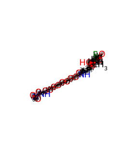 C[C@]12C[C@@H]3O[C@]45C=CC(=O)C=C4[C@@H](F)C[C@@H](C1C[C@H]1O[C@@H](c4ccc(Cc6cccc(NC(=O)CCOCCOCCOCCOCCOCCOCCOCCOCCNC(=O)CCN7C(=O)C=CC7=O)c6)cc4)O[C@]12C(=O)CO)[C@]35F